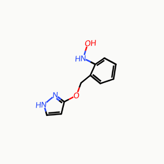 ONc1ccccc1COc1cc[nH]n1